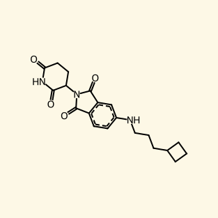 O=C1CCC(N2C(=O)c3ccc(NCCCC4CCC4)cc3C2=O)C(=O)N1